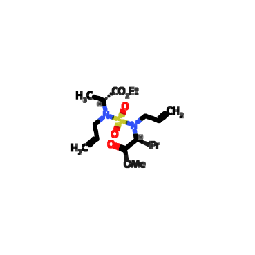 C=CCN([C@H](C)C(=O)OCC)S(=O)(=O)N(CC=C)[C@H](C(=O)OC)C(C)C